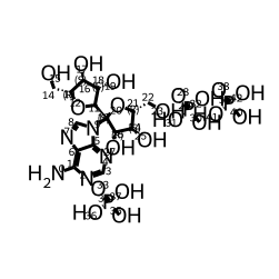 Nc1ncnc2c1ncn2[C@]1(C2O[C@H](CO)[C@@H](O)[C@@H]2O)O[C@H](CO)[C@@H](O)[C@H]1O.O=P(O)(O)O.O=P(O)(O)O.O=P(O)(O)O